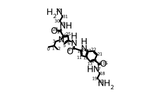 CC(C)Cn1cc(NC(=O)c2cc3cc(C(=O)NCCN)ccc3[nH]2)cc1C(=O)NCCN